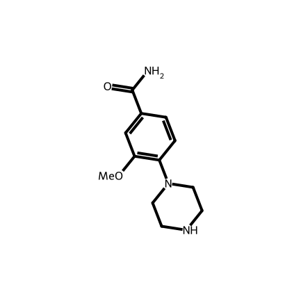 COc1cc(C(N)=O)ccc1N1CCNCC1